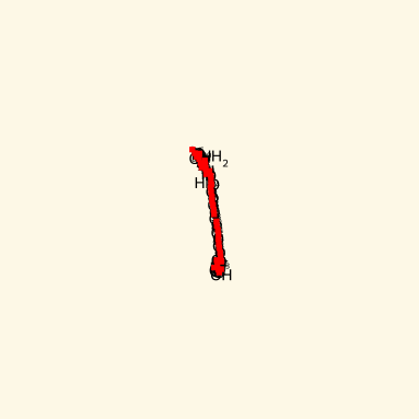 CCCN(OCC)C(=O)C1=Cc2ccc(-c3cnc(OCCNC(=O)CCOCCOCCOCCOCCOCCOCCOCCOCCOCCOCCC(=O)Oc4c(F)c(F)c(S(=O)(=O)O)c(F)c4F)nc3)cc2N=C(N)C1